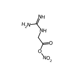 N=C(N)NCC(=O)O[N+](=O)[O-]